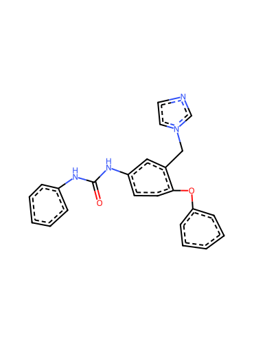 O=C(Nc1ccccc1)Nc1ccc(Oc2ccccc2)c(Cn2ccnc2)c1